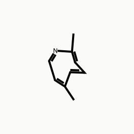 CC1=C/C=N\C(C)=C\C=C\1